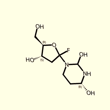 OC[C@H]1OC(F)(N2CC[C@@H](O)NC2O)C[C@@H]1O